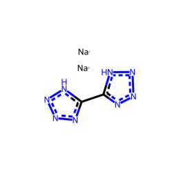 [Na].[Na].n1n[nH]c(-c2nnn[nH]2)n1